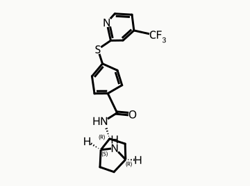 O=C(N[C@@H]1C[C@H]2CC[C@@H]1N2)c1ccc(Sc2cc(C(F)(F)F)ccn2)cc1